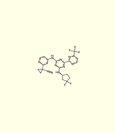 N#CC1(c2cc(Nc3nc(N[C@H]4CCC(F)(F)C4)nc(-c4nccc(C(F)(F)F)n4)n3)ccn2)CC1